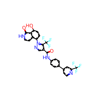 O=C(Nc1ccc(-c2ccnc(C(F)(F)F)c2)cc1)c1cnn(-c2ccc(O)c3c(=O)[nH]ccc23)c1C(F)(F)F